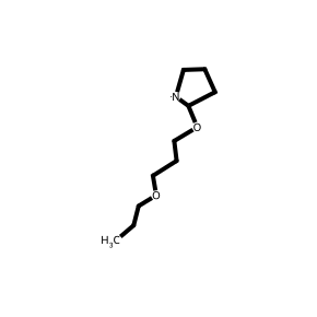 CCCOCCCOC1CCC[N]1